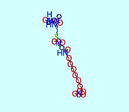 O=C1CCC(C(=O)NC(CCCCCSC2CC(=O)N(CC3CCC(C(=O)NCCOCCOCCOCCOCCOCCOCC(=O)ON4C(=O)CCC4=O)CC3)C2=O)C(=O)Nc2ccccc2)N1